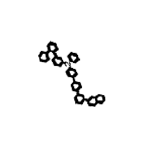 c1ccc(-c2ccccc2-c2cccc(N(c3ccccc3)c3ccc(-c4ccc(-c5cccc(-c6ccc7ccccc7c6)c5)cc4)cc3)c2)cc1